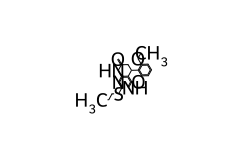 CCCSc1nc2c(c(=O)[nH]1)C(c1ccccc1OC)CC(=O)N2